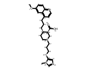 COc1ccc2nccc(CCC[C@@H]3CCN(CCCSc4cncn4C)C[C@@H]3C(=O)O)c2c1